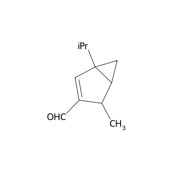 CC1C(C=O)=CC2(C(C)C)CC12